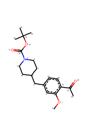 COc1cc(CC2CCN(C(=O)OC(C)(C)C)CC2)ccc1C(C)=O